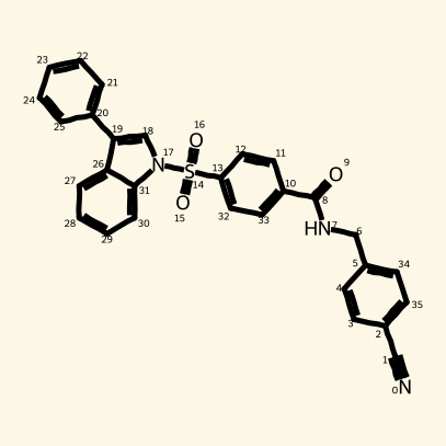 N#Cc1ccc(CNC(=O)c2ccc(S(=O)(=O)n3cc(-c4ccccc4)c4ccccc43)cc2)cc1